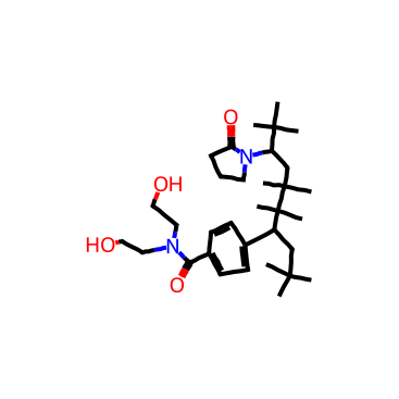 CC(C)(C)CC(c1ccc(C(=O)N(CCO)CCO)cc1)C(C)(C)C(C)(C)CC(N1CCCC1=O)C(C)(C)C